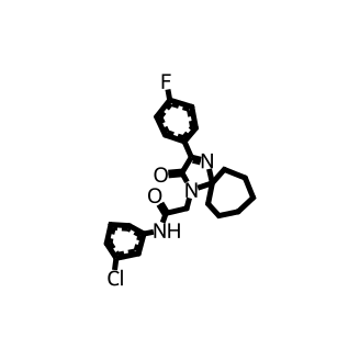 O=C(CN1C(=O)C(c2ccc(F)cc2)=NC12CCCCCC2)Nc1cccc(Cl)c1